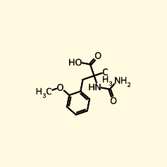 COc1ccccc1CC(C)(NC(N)=O)C(=O)O